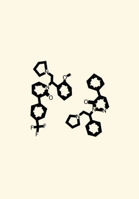 COc1ccccc1C(CN1CCCC1)n1cccc(-c2ccc(C(F)(F)F)cc2)c1=O.O=c1c(-c2ccccc2)ccnn1C(CN1CCCC1)c1ccccc1